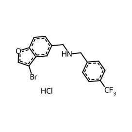 Cl.FC(F)(F)c1ccc(CNCc2ccc3occ(Br)c3c2)cc1